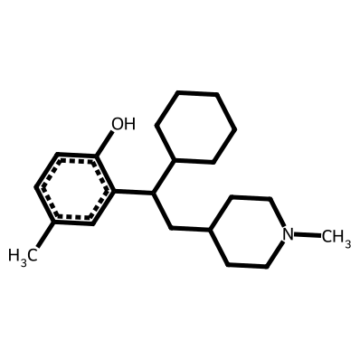 Cc1ccc(O)c(C(CC2CCN(C)CC2)C2CCCCC2)c1